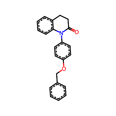 O=C1CCc2ccccc2N1c1ccc(OCc2ccccc2)cc1